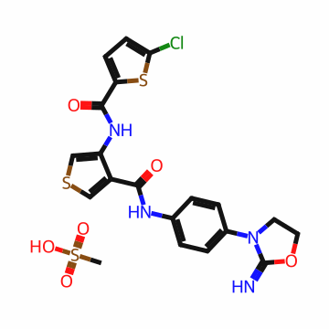 CS(=O)(=O)O.N=C1OCCN1c1ccc(NC(=O)c2cscc2NC(=O)c2ccc(Cl)s2)cc1